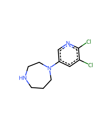 Clc1cc(N2CCCNCC2)cnc1Cl